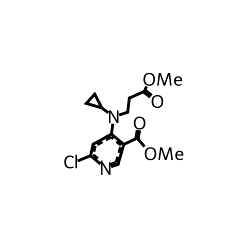 COC(=O)CCN(c1cc(Cl)ncc1C(=O)OC)C1CC1